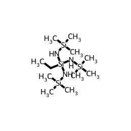 CC[Si](N[Si](C)(C)C)(N[Si](C)(C)C)N[Si](C)(C)C